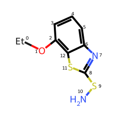 CCOc1cccc2nc(SN)sc12